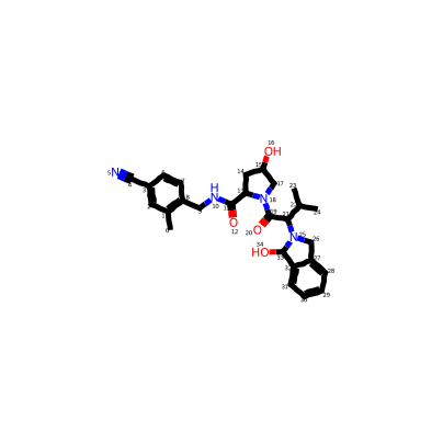 Cc1cc(C#N)ccc1CNC(=O)C1CC(O)CN1C(=O)C(C(C)C)N1Cc2ccccc2C1O